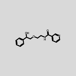 O=C(NCCOCC(O)c1ccccc1)c1cccnc1